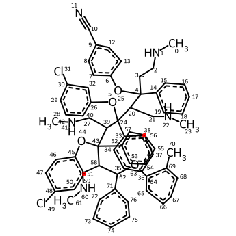 CNC[CH]C(Oc1ccc(C#N)cc1)(c1ccccc1)C(CNC)C(Oc1cccc(Cl)c1)(c1ccccc1)C(CNC)C(Oc1ccc(Cl)cc1)(c1ccccc1)C(CNC)[C](Oc1ccccc1C)c1ccccc1